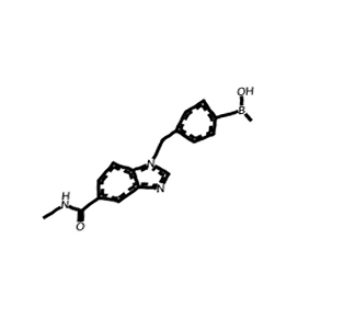 CNC(=O)c1ccc2c(c1)ncn2Cc1ccc(B(C)O)cc1